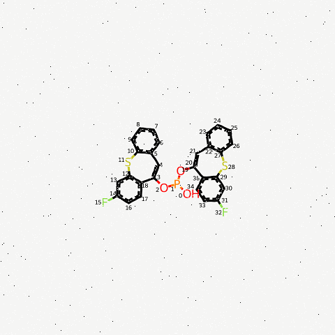 OP(OC1=Cc2ccccc2Sc2cc(F)ccc21)OC1=Cc2ccccc2Sc2cc(F)ccc21